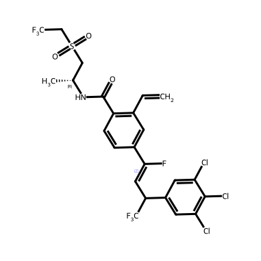 C=Cc1cc(/C(F)=C/C(c2cc(Cl)c(Cl)c(Cl)c2)C(F)(F)F)ccc1C(=O)N[C@H](C)CS(=O)(=O)CC(F)(F)F